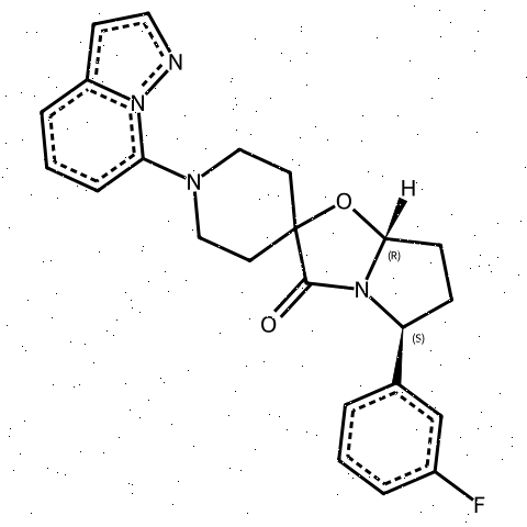 O=C1N2[C@@H](CC[C@H]2c2cccc(F)c2)OC12CCN(c1cccc3ccnn13)CC2